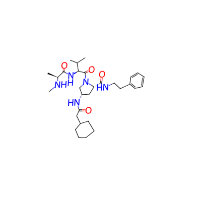 CN[C@@H](C)C(=O)N[C@H](C(=O)N1C[C@@H](NC(=O)CC2CCCCC2)C[C@H]1C(=O)NCCc1ccccc1)C(C)C